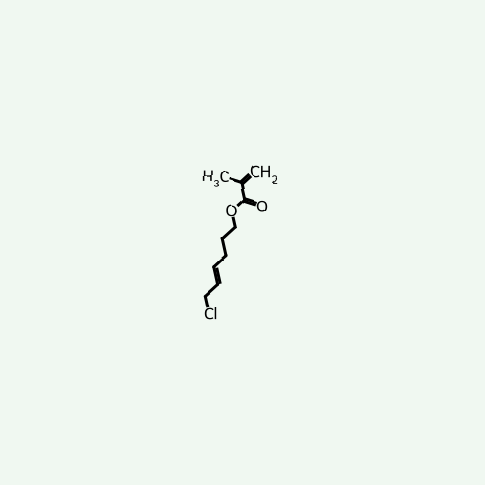 C=C(C)C(=O)OCCCC=CCCl